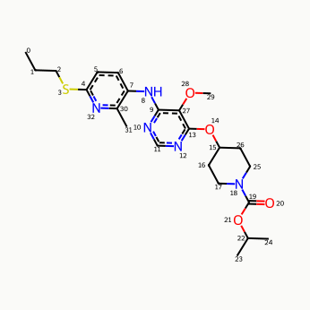 CCCSc1ccc(Nc2ncnc(OC3CCN(C(=O)OC(C)C)CC3)c2OC)c(C)n1